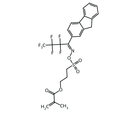 C=C(C)C(=O)OCCCS(=O)(=O)ON=C(c1ccc2c(c1)Cc1ccccc1-2)C(F)(F)C(F)(F)C(F)(F)F